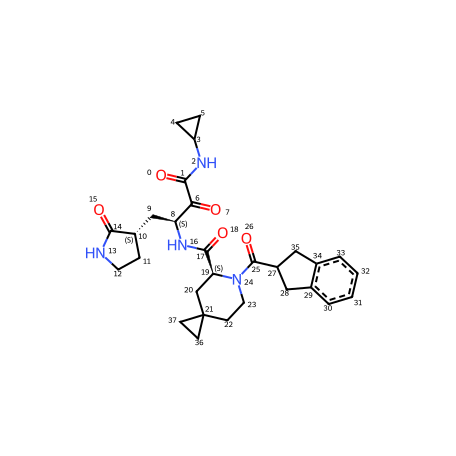 O=C(NC1CC1)C(=O)[C@H](C[C@@H]1CCNC1=O)NC(=O)[C@@H]1CC2(CCN1C(=O)C1Cc3ccccc3C1)CC2